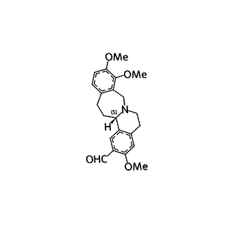 COc1cc2c(cc1C=O)[C@@H]1CCc3ccc(OC)c(OC)c3CN1CC2